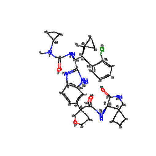 CN(C(=O)N[C@H](c1nc2ccc(C3(C(=O)N[C@H]4C(=O)NCC45CCC5)CCOC3)cc2[nH]1)[C@H](c1ccccc1Cl)C1(C)CC1)C1CC1